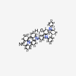 Cc1cc2c(c3ccccc3n2-c2ccccc2)c2c1c1cc(-n3c4ccccc4c4c3ccc3c5cccc(C#N)c5n(-c5ccccc5)c34)ccc1n2-c1ccccc1